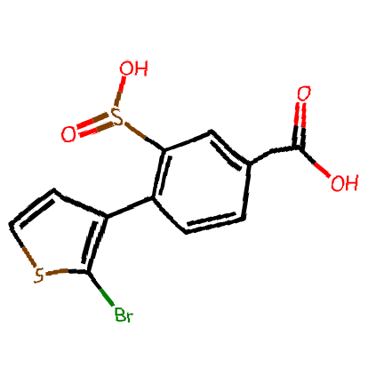 O=C(O)c1ccc(-c2ccsc2Br)c(S(=O)O)c1